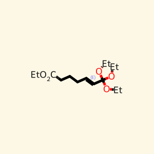 CCOC(=O)CCC/C=C/C(OCC)(OCC)OCC